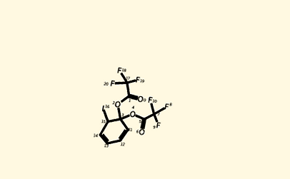 O=C(OC1(OC(=O)C(F)(F)F)C=CC=CC1I)C(F)(F)F